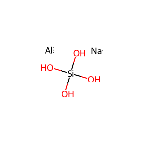 O[Si](O)(O)O.[Al].[Na]